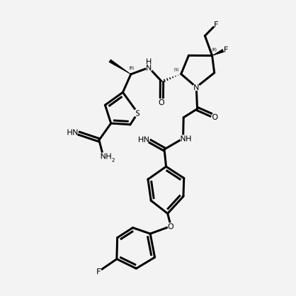 C[C@@H](NC(=O)[C@@H]1C[C@](F)(CF)CN1C(=O)CNC(=N)c1ccc(Oc2ccc(F)cc2)cc1)c1cc(C(=N)N)cs1